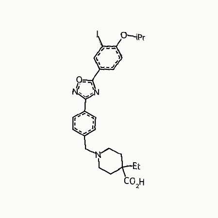 CCC1(C(=O)O)CCN(Cc2ccc(-c3noc(-c4ccc(OC(C)C)c(I)c4)n3)cc2)CC1